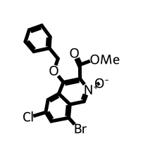 COC(=O)c1c(OCc2ccccc2)c2cc(Cl)cc(Br)c2c[n+]1[O-]